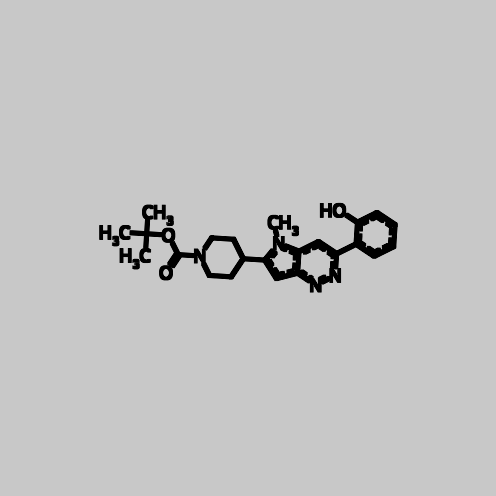 Cn1c(C2CCN(C(=O)OC(C)(C)C)CC2)cc2nnc(-c3ccccc3O)cc21